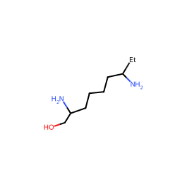 CCC(N)CCCCC(N)CO